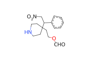 O=COCCC1(C(C[N+](=O)[O-])c2ccccc2)CCNCC1